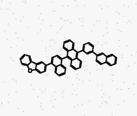 c1cc(-c2ccc3ccccc3c2)cc(-c2c3ccccc3c(-c3ccc(-c4ccc5oc6ccccc6c5c4)c4ccccc34)c3ccccc23)c1